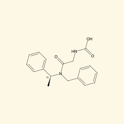 C[C@@H](c1ccccc1)N(Cc1ccccc1)C(=O)CNC(=O)O